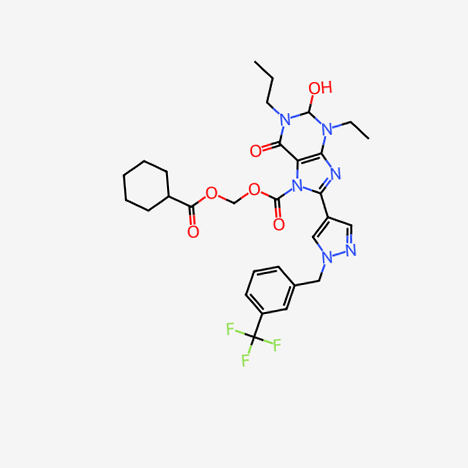 CCCN1C(=O)c2c(nc(-c3cnn(Cc4cccc(C(F)(F)F)c4)c3)n2C(=O)OCOC(=O)C2CCCCC2)N(CC)C1O